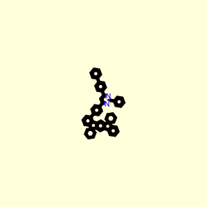 c1ccc(-c2ccc(-c3cc(-c4ccc(-c5cccc6c5-c5cc7c(cc5C65CCCCC5)-c5ccccc5C75CCCCC5)cc4)nc(-c4ccccc4)n3)cc2)cc1